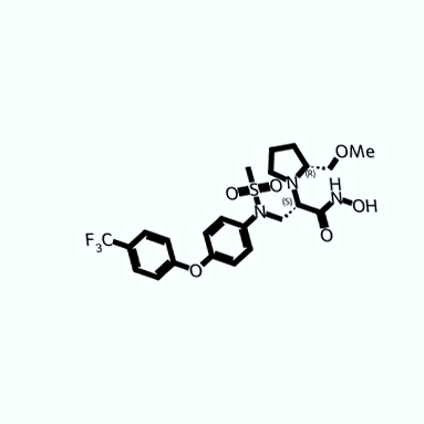 COC[C@H]1CCCN1[C@@H](CN(c1ccc(Oc2ccc(C(F)(F)F)cc2)cc1)S(C)(=O)=O)C(=O)NO